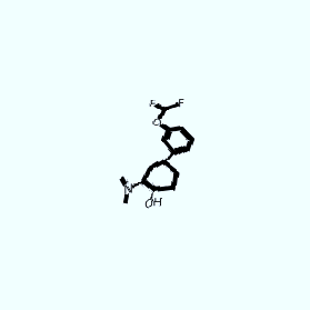 CN(C)[C@H]1C[C@@H](c2cccc(OC(F)F)c2)CC[C@@H]1O